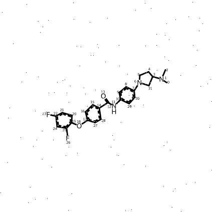 CN(C)C1CCN(c2ccc(NC(=O)c3ccc(Oc4ccc(F)cc4F)cc3)cc2)C1